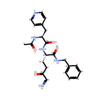 CC(=O)N[C@@H](Cc1ccncc1)C(=O)N[C@@H](CCC(=O)C=N)C(=O)NCc1ccccc1